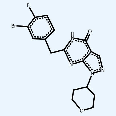 O=c1[nH]c(Cc2ccc(F)c(Br)c2)nc2c1cnn2C1CCOCC1